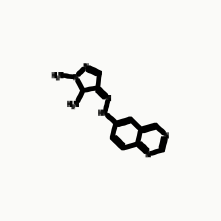 NC1C(=NNc2ccc3ncncc3c2)C=NN1N